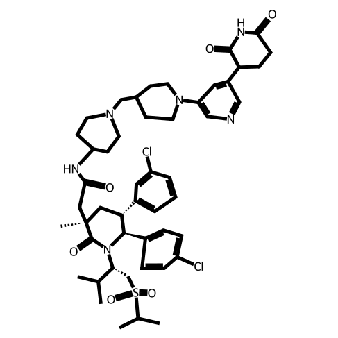 CC(C)[C@@H](CS(=O)(=O)C(C)C)N1C(=O)[C@@](C)(CC(=O)NC2CCN(CC3CCN(c4cncc(C5CCC(=O)NC5=O)c4)CC3)CC2)C[C@H](c2cccc(Cl)c2)[C@H]1c1ccc(Cl)cc1